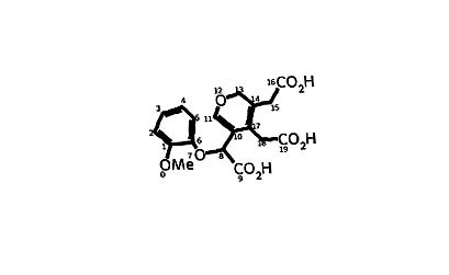 COc1ccccc1OC(C(=O)O)C1=COCC(CC(=O)O)=C1CC(=O)O